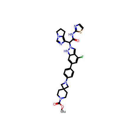 CC(C)(C)OC(=O)N1CCC2(CC1)CN(c1ccc(C3=CC4NN(C(C(=O)Nc5nccs5)c5ncn6c5CCC6)C=C4C(F)=C3)cc1)C2